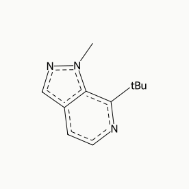 Cn1ncc2ccnc(C(C)(C)C)c21